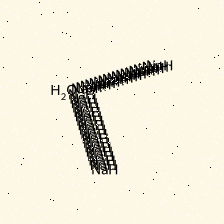 O.[NaH].[NaH].[NaH].[NaH].[NaH].[NaH].[NaH].[NaH].[NaH].[NaH].[NaH].[NaH].[NaH].[NaH].[NaH].[NaH].[NaH].[NaH].[NaH].[NaH].[NaH].[NaH].[NaH].[NaH].[NaH].[NaH].[NaH].[NaH].[NaH].[NaH].[NaH].[NaH].[NaH].[NaH].[NaH].[NaH]